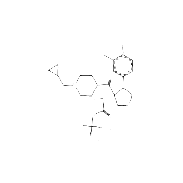 CN(C(=O)OC(C)(C)C)[C@@]1(C(=O)C2CCN(CC3CC3)CC2)CNC[C@@H]1c1ccc(Cl)c(Cl)c1